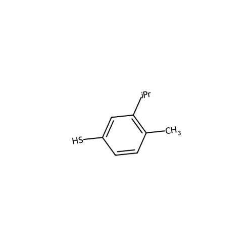 Cc1ccc(S)cc1C(C)C